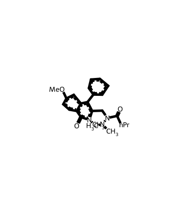 CCCC(=O)N(Cc1c(-c2ccccc2)c2cc(OC)ccc2c(=O)n1C)N(C)C